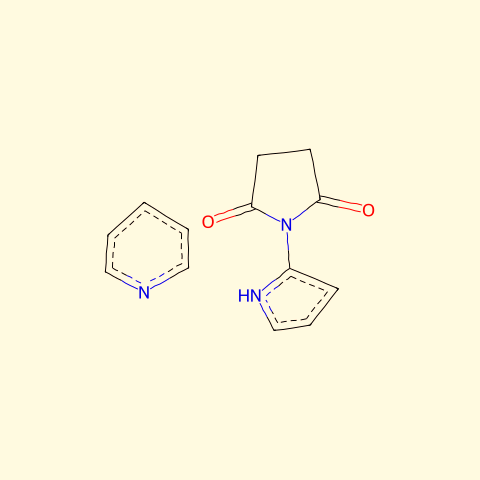 O=C1CCC(=O)N1c1ccc[nH]1.c1ccncc1